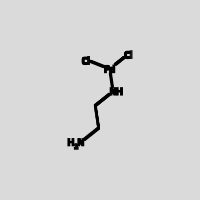 NCC[NH][Pd]([Cl])[Cl]